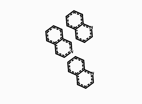 c1ccc2cnccc2c1.c1ccc2ncccc2c1.c1ccc2ncccc2c1